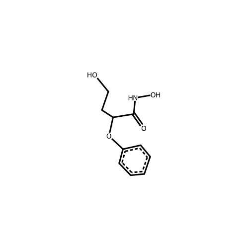 O=C(NO)C(CCO)Oc1ccccc1